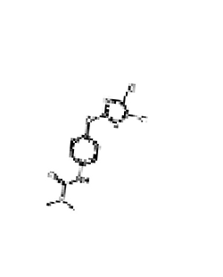 CN(C)C(=O)Nc1ccc(Oc2nc(Cl)c(Cl)s2)cc1